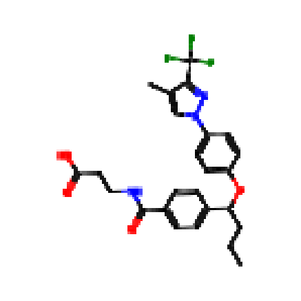 CCCC(Oc1ccc(-n2cc(C)c(C(F)(F)F)n2)cc1)c1ccc(C(=O)NCCC(=O)O)cc1